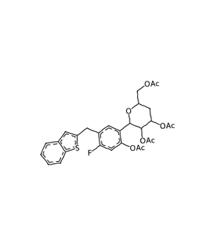 CC(=O)OCC1CC(OC(C)=O)C(OC(C)=O)C(c2cc(Cc3cc4ccccc4s3)c(F)cc2OC(C)=O)O1